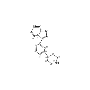 c1cc(-c2cnc3cncnn23)nc(N2CCNCC2)n1